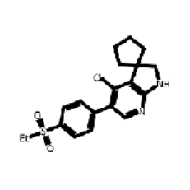 CCS(=O)(=O)c1ccc(-c2cnc3c(c2Cl)C2(CCCC2)CN3)cc1